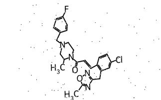 Cc1nc(Cc2cc(Cl)ccc2C=CC(=O)N2CCN(Cc3ccc(F)cc3)CC2C)no1